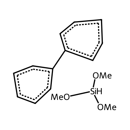 CO[SiH](OC)OC.c1ccc(-c2ccccc2)cc1